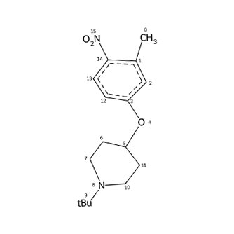 Cc1cc(OC2CCN(C(C)(C)C)CC2)ccc1[N+](=O)[O-]